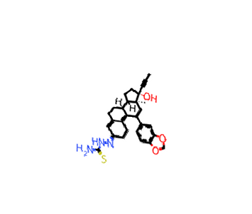 CC#C[C@]1(O)CC[C@H]2[C@@H]3CCC4=C/C(=N\NC(N)=S)CCC4=C3C(c3ccc4c(c3)OCO4)C[C@@]21C